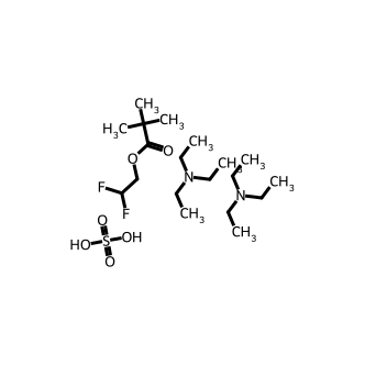 CC(C)(C)C(=O)OCC(F)F.CCN(CC)CC.CCN(CC)CC.O=S(=O)(O)O